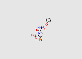 O=PC1=C(C(=O)O)N2C(=O)C(NC(=O)COc3ccccc3)C2CC1